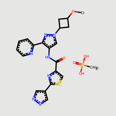 CCOC1CC(n2cc(NC(=O)c3csc(-c4cn[n-]c4)n3)c(-c3ccccn3)n2)C1.COP(=O)(O)O.[K+]